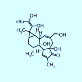 CCCC/C(O)=C(/O)C1(C)C2C[C@@H](C)[C@@]3(O)[C@@H](C=C(CO)C[C@]4(O)C(=O)C(C)=C[C@@H]34)[C@@H]21